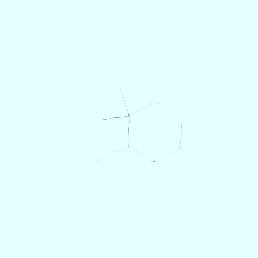 CC1(C)COCCC1C(=O)O